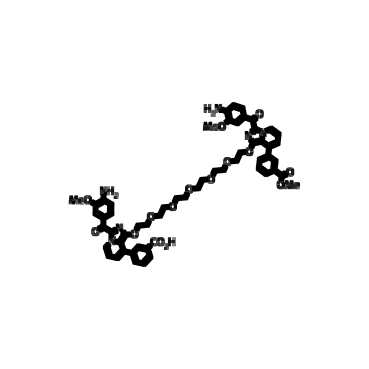 COC(=O)c1cccc(-c2cccn3c(C(=O)c4ccc(N)c(OC)c4)nc(OCCOCCOCCOCCOCCOCCOc4nc(C(=O)c5ccc(N)c(OC)c5)n5cccc(-c6cccc(C(=O)O)c6)c45)c23)c1